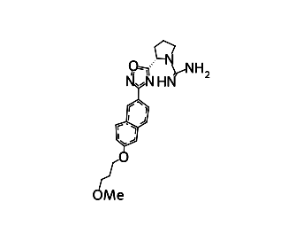 COCCCOc1ccc2cc(-c3noc([C@@H]4CCCN4C(=N)N)n3)ccc2c1